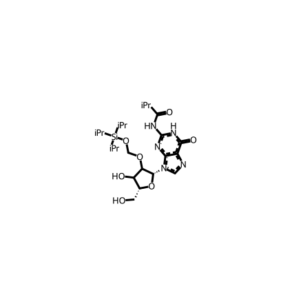 CC(C)C(=O)Nc1nc2c(ncn2[C@@H]2O[C@H](CO)C(O)C2OCO[Si](C(C)C)(C(C)C)C(C)C)c(=O)[nH]1